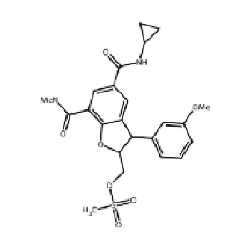 CNC(=O)c1cc(C(=O)NC2CC2)cc2c1OC(COS(C)(=O)=O)C2c1cccc(OC)c1